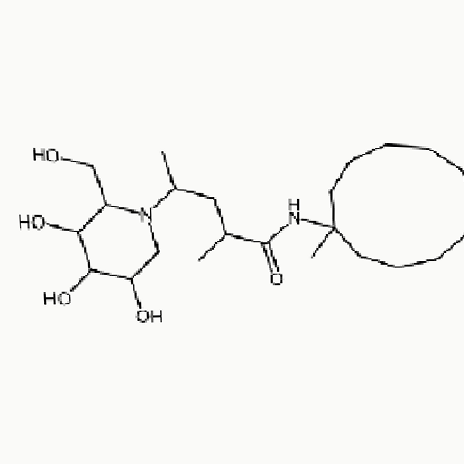 CC(CC(C)N1CC(O)C(O)C(O)C1CO)C(=O)NC1(C)CCCCCCCCCC1